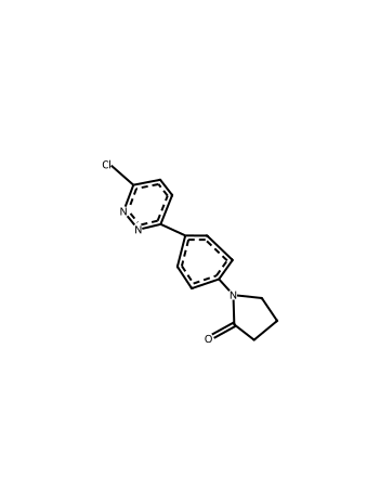 O=C1CCCN1c1ccc(-c2ccc(Cl)nn2)cc1